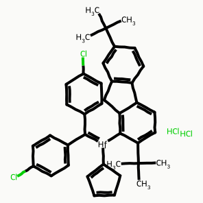 CC(C)(C)c1ccc2c(c1)Cc1c-2ccc(C(C)(C)C)[c]1[Hf]([C]1=CC=CC1)=[C](c1ccc(Cl)cc1)c1ccc(Cl)cc1.Cl.Cl